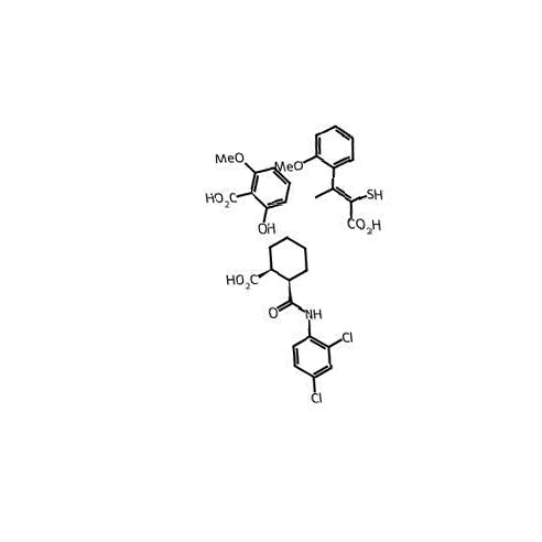 COc1cccc(O)c1C(=O)O.COc1ccccc1/C(C)=C(\S)C(=O)O.O=C(O)[C@H]1CCCC[C@H]1C(=O)Nc1ccc(Cl)cc1Cl